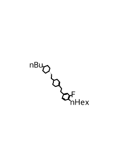 CCCCCCc1ccc(CCC2=CCC(CC[C@H]3CC[C@H](CCCC)CC3)CC2)cc1F